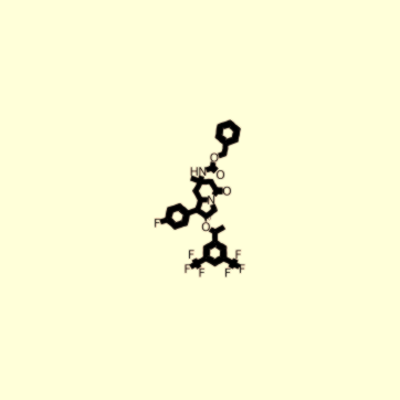 CC(O[C@H]1CN2C(=O)CC(C)(NC(=O)OCc3ccccc3)CC2C1c1ccc(F)cc1)c1cc(C(F)(F)F)cc(C(F)(F)F)c1